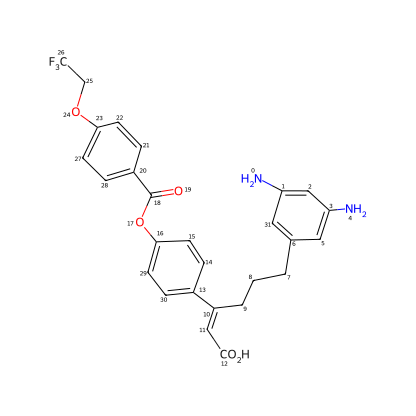 Nc1cc(N)cc(CCC/C(=C\C(=O)O)c2ccc(OC(=O)c3ccc(OCC(F)(F)F)cc3)cc2)c1